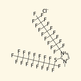 Cn1cc[n+](C(F)(F)C(F)(F)C(F)(F)C(F)(F)C(F)(F)C(F)(F)C(F)(F)C(F)(F)F)c1SC(F)(F)C(F)(F)C(F)(F)C(F)(F)C(F)(F)C(F)(F)C(F)(F)C(F)(F)F.[Cl-]